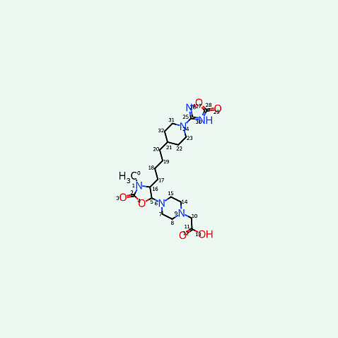 CN1C(=O)OC(N2CCN(CC(=O)O)CC2)C1CCCCC1CCN(c2noc(=O)[nH]2)CC1